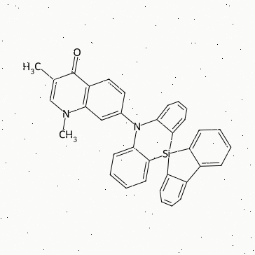 Cc1cn(C)c2cc(N3c4ccccc4[Si]4(c5ccccc5-c5ccccc54)c4ccccc43)ccc2c1=O